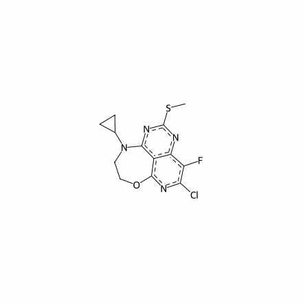 CSc1nc2c3c(nc(Cl)c(F)c3n1)OCCN2C1CC1